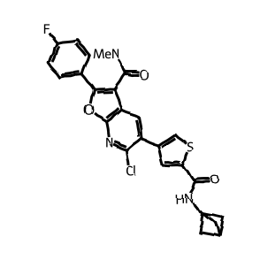 CNC(=O)c1c(-c2ccc(F)cc2)oc2nc(Cl)c(-c3csc(C(=O)NC45CC(C4)C5)c3)cc12